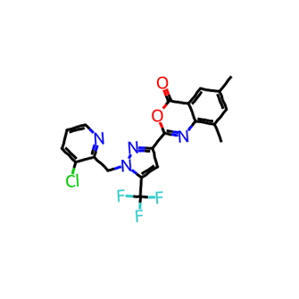 Cc1cc(C)c2nc(-c3cc(C(F)(F)F)n(Cc4ncccc4Cl)n3)oc(=O)c2c1